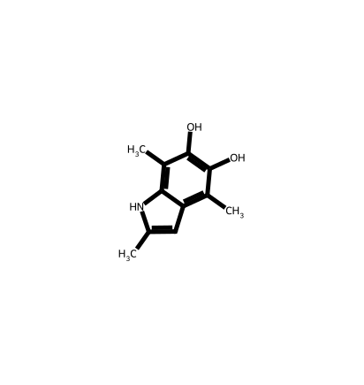 Cc1cc2c(C)c(O)c(O)c(C)c2[nH]1